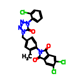 Cc1cc(Cn2nnn(-c3ccccc3Cl)c2=O)ccc1N1C(=O)c2cc(Cl)c(Cl)cc2C1=O